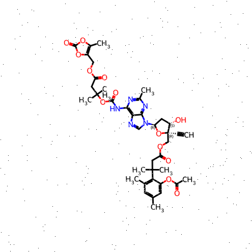 C#C[C@]1(COC(=O)CC(C)(C)c2c(C)cc(C)cc2OC(C)=O)O[C@@H](n2cnc3c(NC(=O)OC(C)(C)CC(=O)OCc4oc(=O)oc4C)nc(C)nc32)C[C@@H]1O